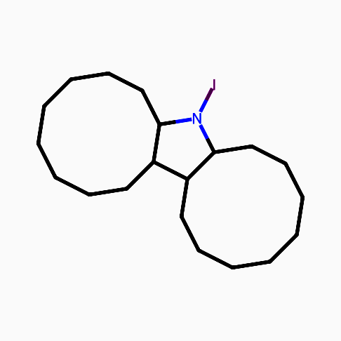 IN1C2CCCCCCCCC2C2CCCCCCCCC21